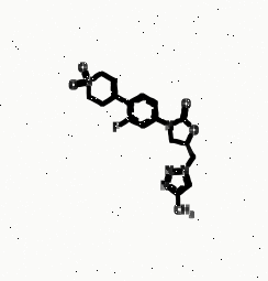 Cc1cn(C[C@H]2CN(c3ccc(C4=CCS(=O)(=O)CC4)c(F)c3)C(=O)O2)nn1